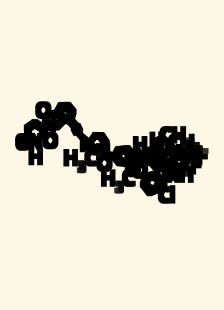 COc1cc(C(=O)N2CCC[C@]3(C[C@H]3C#Cc3cccc4c3CN(C3CCC(=O)NC3=O)C4=O)[C@H]2C)ccc1NC(=O)[C@@H]1N[C@@H](CC(C)(C)C)[C@@]2(CNc3cc(C(F)(F)F)ncc32)[C@H]1c1cccc(Cl)c1F